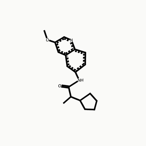 COc1cnc2ccc(NC(=O)C(C)C3CCCC3)cc2c1